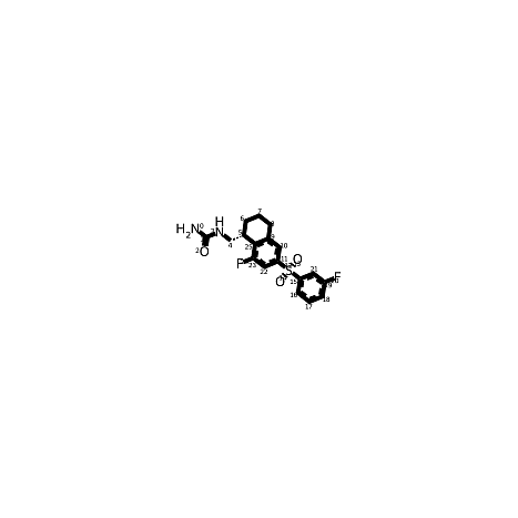 NC(=O)NC[C@@H]1CCCc2cc(S(=O)(=O)c3cccc(F)c3)cc(F)c21